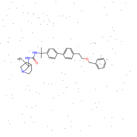 CCCC1(NC(=O)NC(C)(C)c2ccc(-c3ccc(CCOCc4ccccc4)cc3)cc2)CN2CCC1CC2